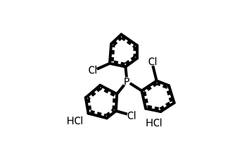 Cl.Cl.Clc1ccccc1P(c1ccccc1Cl)c1ccccc1Cl